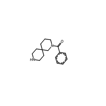 O=C(c1ccccc1)N1CCCC2(CCNCC2)C1